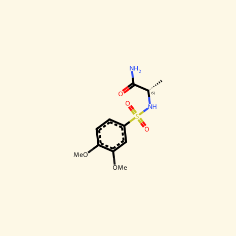 COc1ccc(S(=O)(=O)N[C@@H](C)C(N)=O)cc1OC